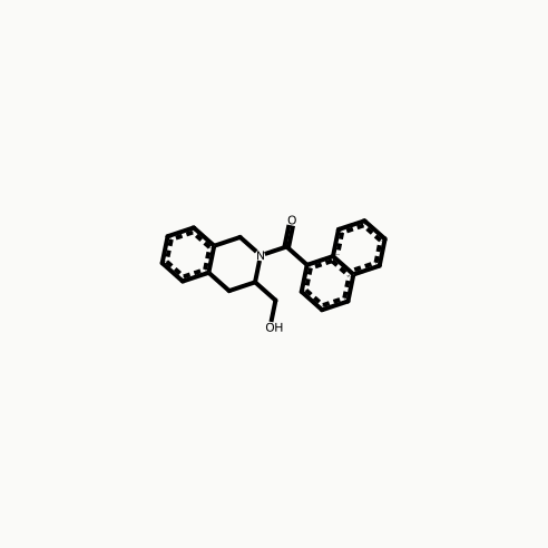 O=C(c1cccc2ccccc12)N1Cc2ccccc2CC1CO